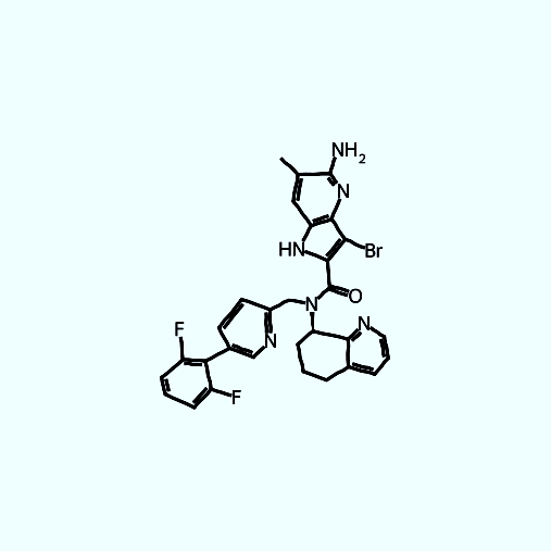 Cc1cc2[nH]c(C(=O)N(Cc3ccc(-c4c(F)cccc4F)cn3)[C@@H]3CCCc4cccnc43)c(Br)c2nc1N